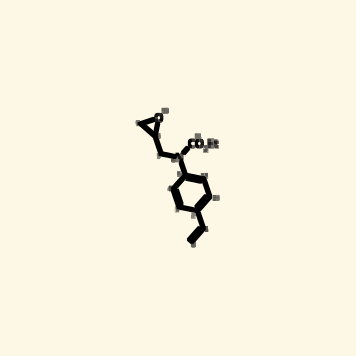 C=Cc1ccc(N(CC2CO2)C(=O)OCC)cc1